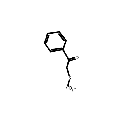 O=C(O)SCC(=O)c1ccccc1